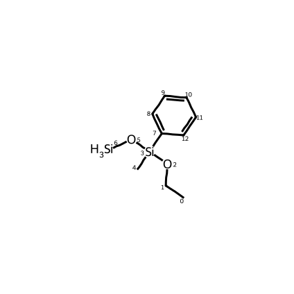 CCO[Si](C)(O[SiH3])c1ccccc1